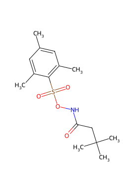 Cc1cc(C)c(S(=O)(=O)ONC(=O)CC(C)(C)C)c(C)c1